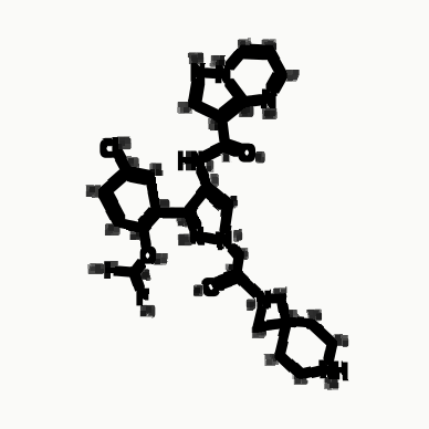 O=C(Nc1cn(CC(=O)N2CC3(CCNCC3)C2)nc1-c1cc(Cl)ccc1OC(F)F)c1cnn2cccnc12